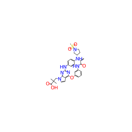 C=CC(=O)Nc1cccc(Oc2nc(Nc3ccc(N[C@H]4CCN(S(C)(=O)=O)C4)cc3)nc3c2ccn3CC(C)(C)C(=O)O)c1